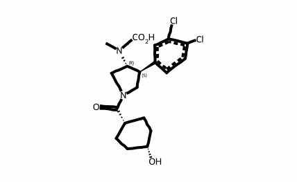 CN(C(=O)O)[C@H]1CN(C(=O)[C@H]2CC[C@@H](O)CC2)C[C@@H]1c1ccc(Cl)c(Cl)c1